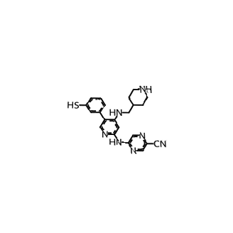 N#Cc1cnc(Nc2cc(NCC3CCNCC3)c(-c3cccc(S)c3)cn2)cn1